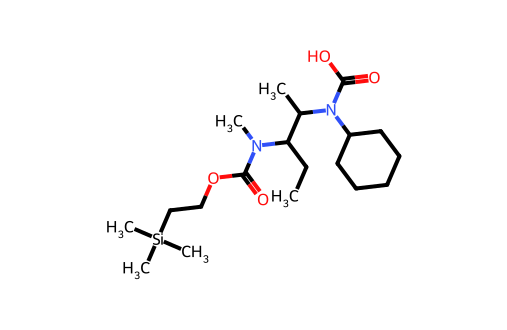 CCC(C(C)N(C(=O)O)C1CCCCC1)N(C)C(=O)OCC[Si](C)(C)C